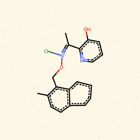 CC(c1ncccc1O)=[N+](Cl)OCc1c(C)ccc2ccccc12